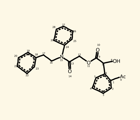 CC(=O)c1ccccc1C(O)C(=O)OCC(=O)N(CCc1ccccc1)c1ccccc1